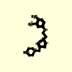 Cc1ccc(OCCc2ccc(CN3CCNCC3)cc2)cc1C